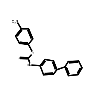 O=C(Nc1ccc(-c2ccccc2)cc1)Oc1ccc([N+](=O)[O-])cc1